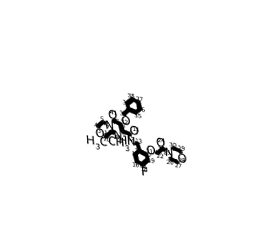 CC1(C)OCCn2c1nc(C(=O)NCc1ccc(F)cc1OCC(=O)N1CCOCC1)c(OCc1ccccc1)c2=O